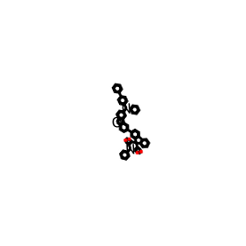 c1ccc(-c2ccc(N(c3ccccc3)c3ccc4oc5ccc(-c6ccc7c(c6)C6(c8ccccc8-7)c7ccccc7N(c7ccccc7)c7ccccc76)cc5c4c3)cc2)cc1